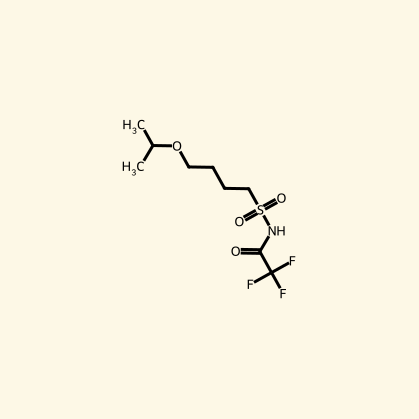 CC(C)OCCCCS(=O)(=O)NC(=O)C(F)(F)F